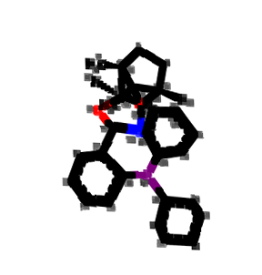 CC1(C)[C@@H]2CC[C@]1(C)[C@@H]1OC(c3ccccc3P(c3ccccc3)c3ccccc3)=N[C@H]21